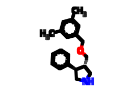 Cc1cc(C)cc(COC[C@@H]2CNC[C@H]2c2ccccc2)c1